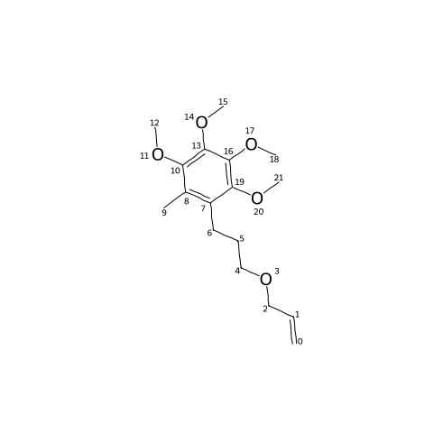 C=CCOCCCc1c(C)c(OC)c(OC)c(OC)c1OC